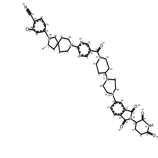 C[C@H]1CC2(CCN(c3ncc(C(=O)N4CCC(N5CCN(c6ccc7c(c6)C(=O)N(C6CCC(=O)NC6=O)C7=O)CC5)CC4)cn3)CC2)CN1c1ccc(C#N)c(Cl)c1